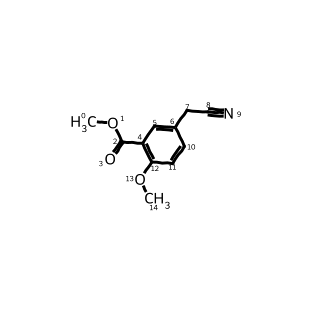 COC(=O)c1cc(CC#N)ccc1OC